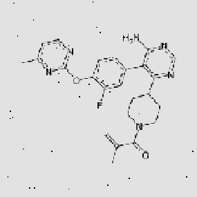 C=C(C)C(=O)N1CCC(c2ncnc(N)c2-c2ccc(Oc3nccc(C)n3)c(F)c2)CC1